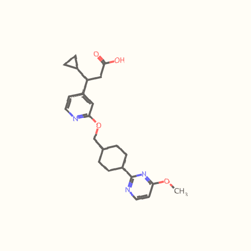 COc1ccnc(C2CCC(COc3cc(C(CC(=O)O)C4CC4)ccn3)CC2)n1